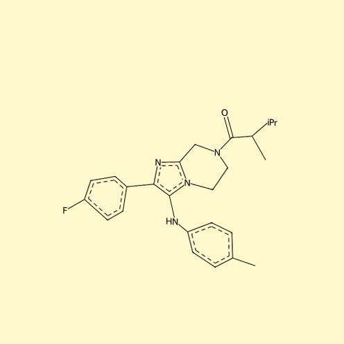 Cc1ccc(Nc2c(-c3ccc(F)cc3)nc3n2CCN(C(=O)C(C)C(C)C)C3)cc1